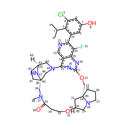 CC(C)c1c(Cl)cc(O)cc1-c1ncc2c3nc(nc2c1F)OC[C@]12CCCN1C[C@@H](C2)OCCC(=O)N(C)C[C@@]12CC[C@@H](CN3C1)N2